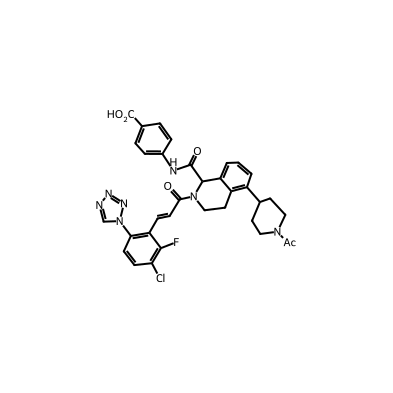 CC(=O)N1CCC(c2cccc3c2CCN(C(=O)C=Cc2c(-n4cnnn4)ccc(Cl)c2F)C3C(=O)Nc2ccc(C(=O)O)cc2)CC1